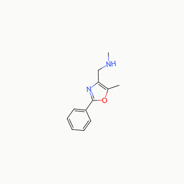 CNCc1nc(-c2ccccc2)oc1C